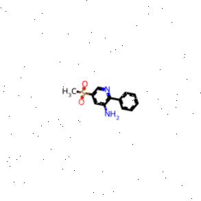 CS(=O)(=O)c1cnc(-c2ccccc2)c(N)c1